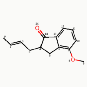 CC=CCC1Cc2c(OC)cccc2C1=O